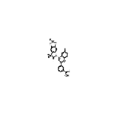 Cc1ccc2c(c1)[C@@H](NC(=O)C1(c3ccc4c(c3)OC(F)(F)O4)CC1)C[C@H](c1cccc(C(=O)O)c1)O2